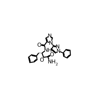 NC(=O)C(=O)[C@H](Cc1ccccc1)NC(=O)c1cncn1-c1ccn(-c2ccccc2)n1